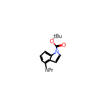 CCCc1cccc2c1ccn2C(=O)OC(C)(C)C